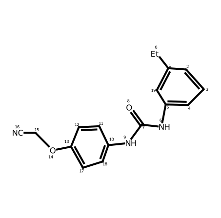 CCc1cccc(NC(=O)Nc2ccc(OCC#N)cc2)c1